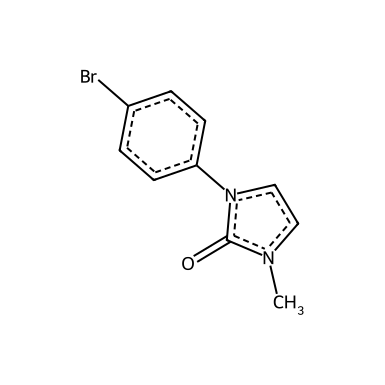 Cn1ccn(-c2ccc(Br)cc2)c1=O